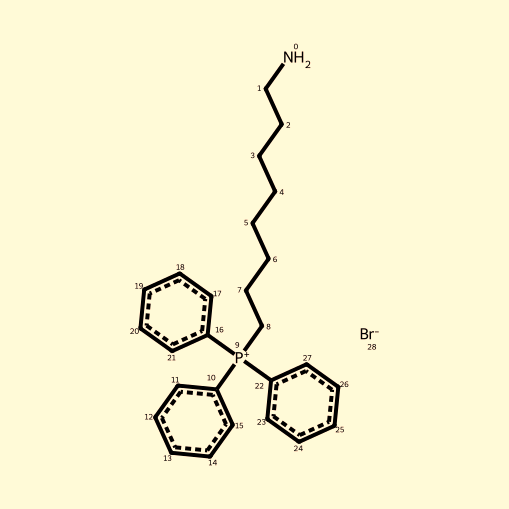 NCCCCCCCC[P+](c1ccccc1)(c1ccccc1)c1ccccc1.[Br-]